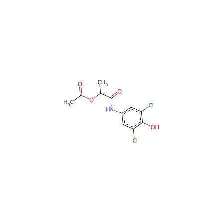 CC(=O)OC(C)C(=O)Nc1cc(Cl)c(O)c(Cl)c1